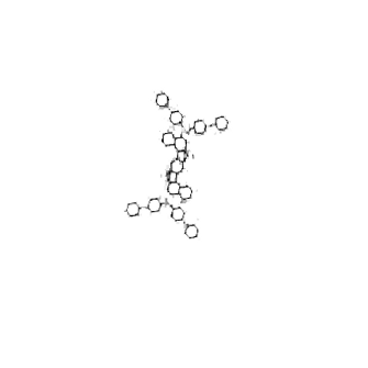 c1ccc(-c2ccc(N(c3ccc(-c4ccccc4)cc3)c3cc4oc5cc6c(cc5c4c4ccccc34)oc3cc(N(c4ccc(-c5ccccc5)cc4)c4ccc(-c5ccccc5)cc4)c4ccccc4c36)cc2)cc1